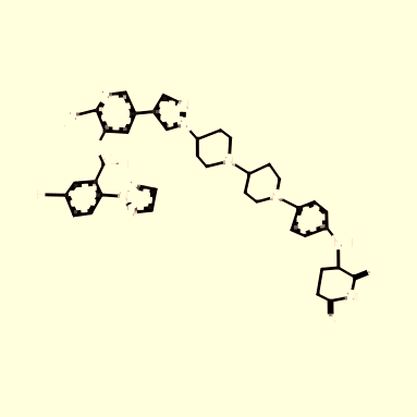 C[C@@H](Oc1cc(-c2cnn(C3CCN(C4CCN(c5ccc(NC6CCC(=O)NC6=O)cc5)CC4)CC3)c2)cnc1N)c1cc(F)ccc1-n1nccn1